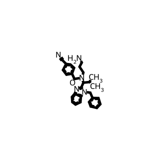 CC(C)C(c1nc2ccccc2n1Cc1ccccc1)N(CCCN)C(=O)c1ccc(C#N)cc1